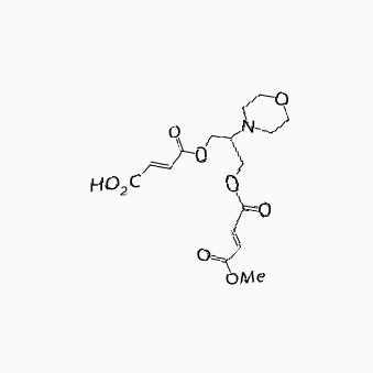 COC(=O)/C=C/C(=O)OCC(COC(=O)/C=C/C(=O)O)N1CCOCC1